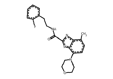 Cc1ccc(N2CCOCC2)c2sc(C(=O)NCCc3ccccc3F)nc12